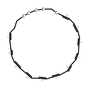 [C]1=C/C=C\C=C/C=C\C=C/C=C\C=C/C=C\C=C/C=C\C=C/CCCCCCCC\1